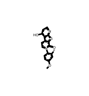 COc1ccc(-n2ccc3c(sc4nccc(O)c43)c2=O)c(F)c1